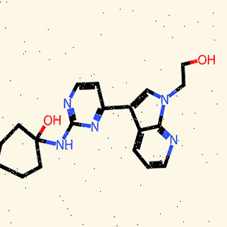 OCCn1cc(-c2ccnc(NC3(O)CCCCC3)n2)c2cccnc21